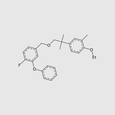 CCOc1ccc(C(C)(C)COCc2ccc(F)c(Oc3ccccc3)c2)cc1C